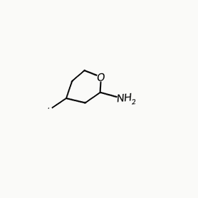 [CH2]C1CCOC(N)C1